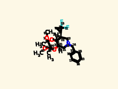 CO[C@@]1(C)O[C@@H]2[C@@H](C3CC3(F)F)CN(Cc3ccccc3)C[C@H]2O[C@]1(C)OC